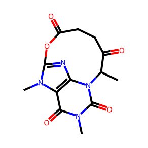 CC1C(=O)CCC(=O)Oc2nc3c(c(=O)n(C)c(=O)n31)n2C